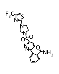 NC(=O)c1ccccc1-c1ccc(S(=O)(=O)N2CCN(c3nc(C(F)(F)F)cs3)CC2)nn1